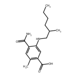 CCCCC(C)CNc1cc(C(=O)O)c(C)cc1C(N)=O